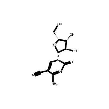 N#Cc1cn([C@@H]2O[C@H](CO)[C@H](O)[C@H]2O)c(=O)nc1N